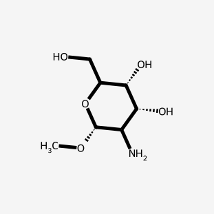 CO[C@@H]1OC(CO)[C@H](O)[C@H](O)C1N